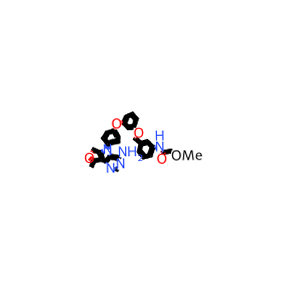 COCC(=O)Nc1cccc(COc2cccc(Oc3ccc(-n4c5c(c6ncnc(N)c64)C(C)OC5)cc3)c2)c1